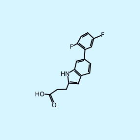 O=C(O)CCc1cc2ccc(-c3cc(F)ccc3F)cc2[nH]1